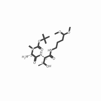 COC(CCCNC(=O)[C@@H](NC(=O)[C@H](N)N(C)C(=O)OC(C)(C)C)[C@H](C)O)OC